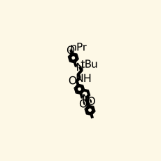 CCCOc1ccc(CN(CCNC(=O)c2ccc3c(c2)CCN(S(=O)(=O)c2ccc(C)cc2)C3)C(C)(C)C)cc1